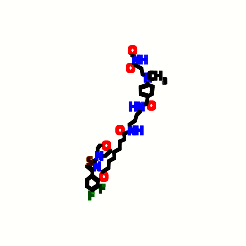 CN(CCC(=O)NC=O)c1ccc(C(=O)NCCCCNC(=O)CCCCCCCCOc2c(-c3csc(N4CCOCC4)n3)ccc(F)c2F)cc1